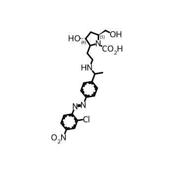 CC(NCCC1[C@H](O)C[C@@H](CO)N1C(=O)O)c1ccc(N=Nc2ccc([N+](=O)[O-])cc2Cl)cc1